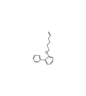 C=CCCCCOc1ccccc1-c1ccccc1